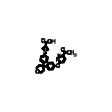 CC(=O)c1ccc(Oc2ccc(C3(c4ccc(N5CC(C(=O)O)C5)cc4)CCOCC3)cc2)nn1